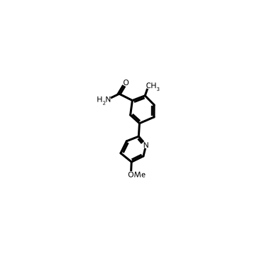 COc1ccc(-c2ccc(C)c(C(N)=O)c2)nc1